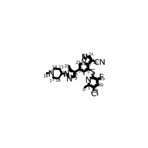 Cc1nc(Sc2cc(-c3cnn(C4CCN(C)CC4)c3C)cn3ncc(C#N)c23)c(F)cc1Cl